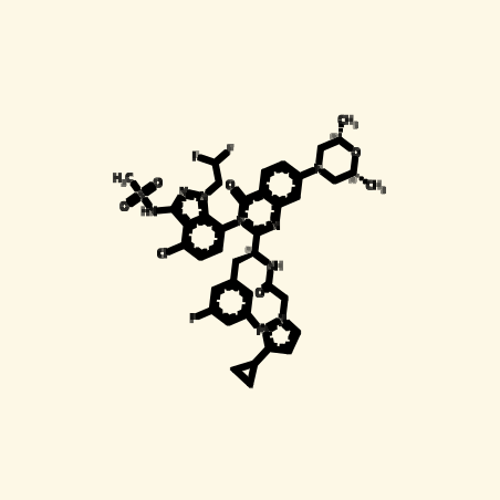 C[C@@H]1CN(c2ccc3c(=O)n(-c4ccc(Cl)c5c(NS(C)(=O)=O)nn(CC(F)F)c45)c([C@H](Cc4cc(F)cc(F)c4)NC(=O)Cn4ccc(C5CC5)n4)nc3c2)C[C@H](C)O1